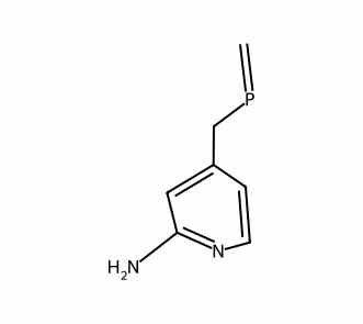 C=PCc1ccnc(N)c1